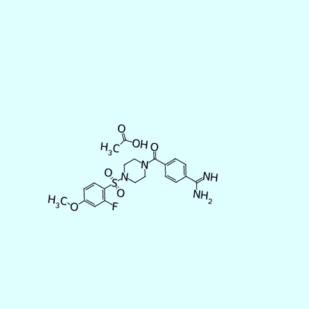 CC(=O)O.COc1ccc(S(=O)(=O)N2CCN(C(=O)c3ccc(C(=N)N)cc3)CC2)c(F)c1